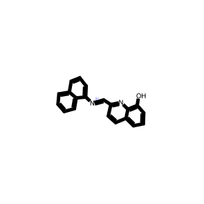 Oc1cccc2ccc(/C=N/c3cccc4ccccc34)nc12